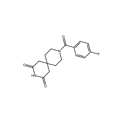 O=C1CC2(CCN(C(=O)c3ccc(F)cc3)CC2)CC(=O)N1